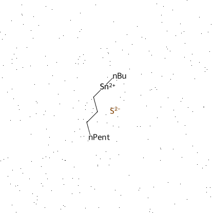 CCCCCCC[CH2][Sn+2][CH2]CCC.[S-2]